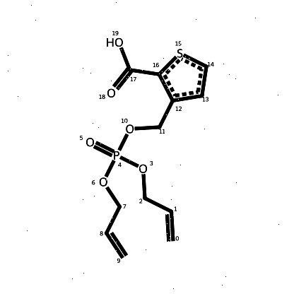 C=CCOP(=O)(OCC=C)OCc1ccsc1C(=O)O